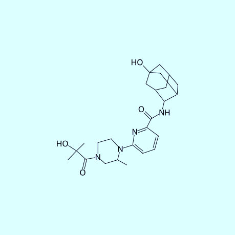 CC1CN(C(=O)C(C)(C)O)CCN1c1cccc(C(=O)NC2C3CC4CC2CC(O)(C4)C3)n1